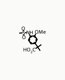 COc1cc(C(C)(C)C(=O)O)ccc1NS(C)(=O)=O